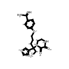 N=C(N)c1ccc(OCCCC(CC(=O)O)(c2ccoc2)N2CCNC(=O)C2=O)cc1